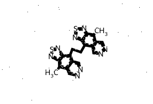 Cc1c2cnncc2c(CCc2c3cnncc3c(C)c3nsnc23)c2nsnc12